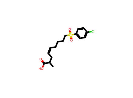 CC(C/C=C\CCCCS(=O)(=O)c1ccc(Cl)cc1)C(=O)O